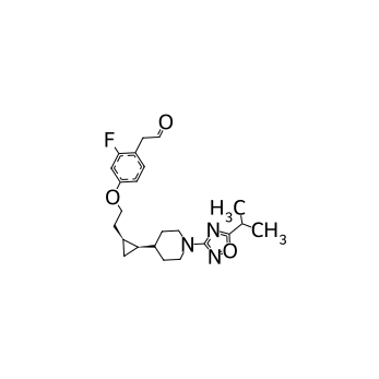 CC(C)c1nc(N2CCC([C@H]3C[C@H]3CCOc3ccc(CC=O)c(F)c3)CC2)no1